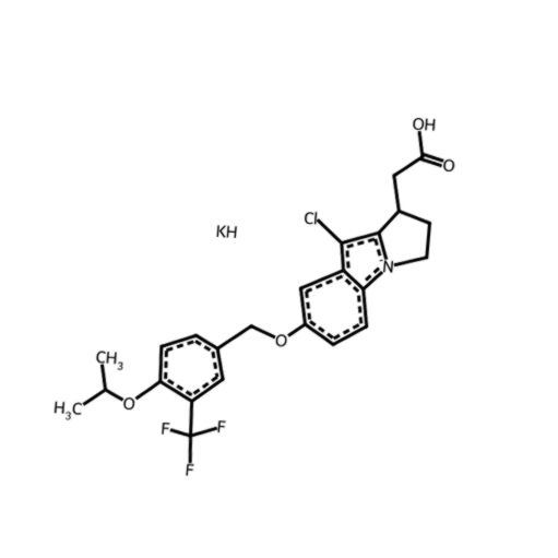 CC(C)Oc1ccc(COc2ccc3c(c2)c(Cl)c2n3CCC2CC(=O)O)cc1C(F)(F)F.[KH]